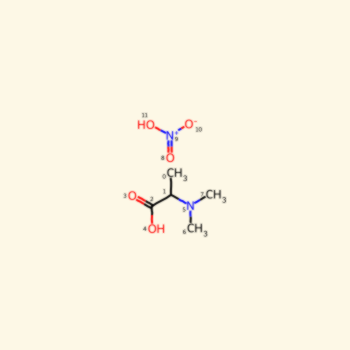 CC(C(=O)O)N(C)C.O=[N+]([O-])O